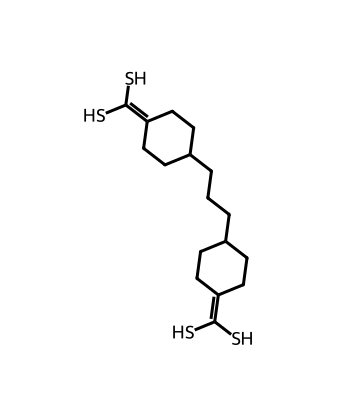 SC(S)=C1CCC(CCCC2CCC(=C(S)S)CC2)CC1